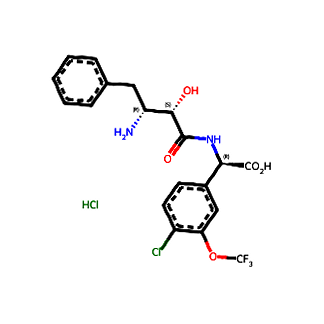 Cl.N[C@H](Cc1ccccc1)[C@H](O)C(=O)N[C@@H](C(=O)O)c1ccc(Cl)c(OC(F)(F)F)c1